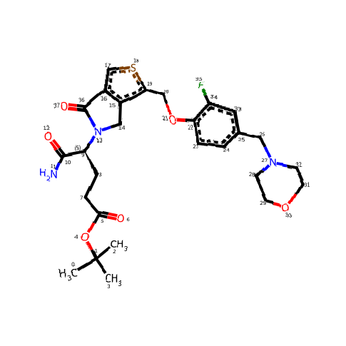 CC(C)(C)OC(=O)CC[C@@H](C(N)=O)N1Cc2c(csc2COc2ccc(CN3CCOCC3)cc2F)C1=O